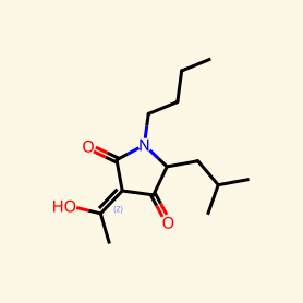 CCCCN1C(=O)/C(=C(/C)O)C(=O)C1CC(C)C